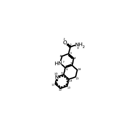 NC(=O)C1=CC2=C(NC1)c1ncccc1CC2